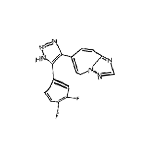 Fc1ccc(-c2[nH]nnc2-c2ccc3ncnn3c2)cc1F